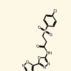 O=C(CCS(=O)(=O)c1ccc(Cl)cc1)Nc1nnc(-c2ccno2)o1